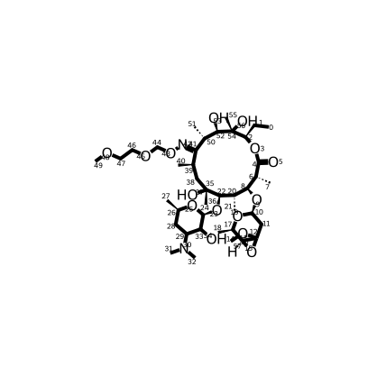 CC[C@H]1OC(=O)[C@H](C)[C@@H](O[C@H]2CC3(OC)O[C@H]3[C@@H](C)O2)[C@H](C)[C@@H](O[C@@H]2O[C@H](C)CC(N(C)C)C2O)[C@](C)(O)C[C@@H](C)/C(=N\OCOCCOC)[C@H](C)[C@@H](O)[C@]1(C)O